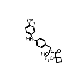 O=C(N(O)Cc1ccc(Nc2ccc(C(F)(F)F)cc2)cc1)C1(C(F)(F)F)CCC1